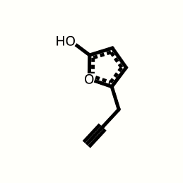 C#CCc1ccc(O)o1